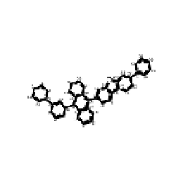 c1ccc(-c2cccc(-c3c4ccccc4c(-c4ccc5c(c4)oc4cc(-c6ccccc6)ccc45)c4ccccc34)c2)cc1